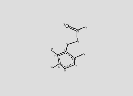 CC(=O)CCc1c(C)ccc(C)c1C